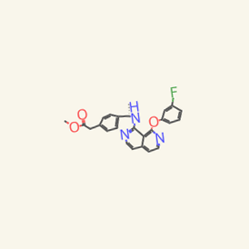 COC(=O)Cc1ccc([C@H](C)Nc2nccc3ccnc(Oc4cccc(F)c4)c23)cc1